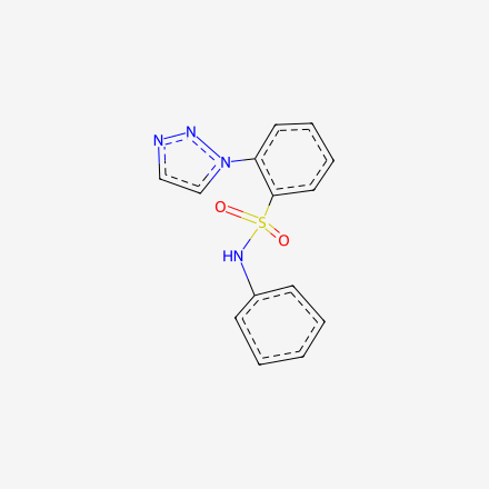 O=S(=O)(Nc1ccccc1)c1ccccc1-n1ccnn1